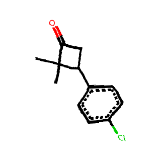 CC1(C)C(=O)CC1c1ccc(Cl)cc1